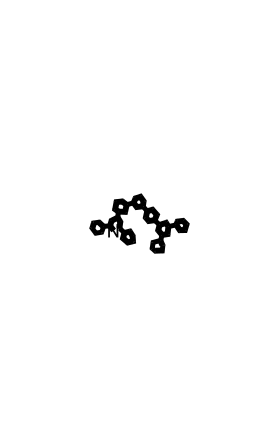 C1=CCCC(c2cc(-c3ccccc3)cc(-c3ccc(-c4cccc(-c5cccc(-c6cc(C7=CC=CCC7)nc(-c7ccccc7)c6)c5)c4)cc3)c2)=C1